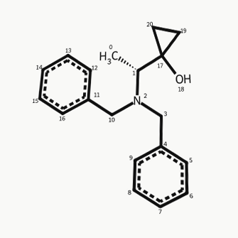 C[C@@H](N(Cc1ccccc1)Cc1ccccc1)C1(O)CC1